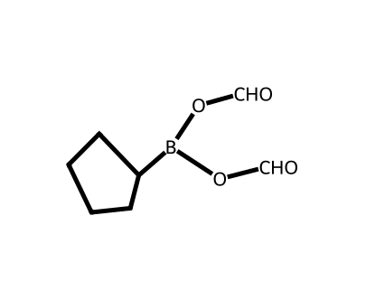 O=COB(OC=O)C1CCCC1